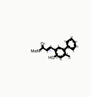 CNC(=O)/C=C/c1cc(-c2ccccc2)c(C)cc1O